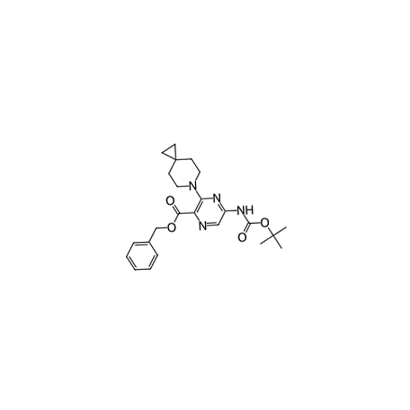 CC(C)(C)OC(=O)Nc1cnc(C(=O)OCc2ccccc2)c(N2CCC3(CC2)CC3)n1